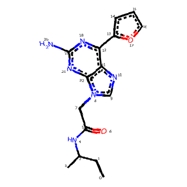 CCC(C)NC(=O)Cn1cnc2c(-c3ccco3)nc(N)nc21